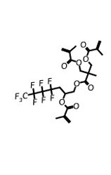 C=C(C)C(=O)OCC(C)(COC(=O)C(=C)C)C(=O)OCC(CC(F)(F)C(F)(F)C(F)(F)C(F)(F)F)OC(=O)C(=C)C